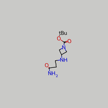 CC(C)(C)OC(=O)N1CC(NCCC(N)=O)C1